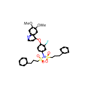 COc1cc2nccc(Oc3ccc(N(S(=O)(=O)CCCc4ccccc4)S(=O)(=O)CCCc4ccccc4)cc3F)c2cc1OC